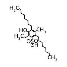 CCCCCCCCc1c(C)c(CCCCCCCC)c(S(=O)(=O)O)c(CC)c1O